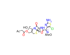 CO/N=C(\C(=O)N[C@@H]1C(=O)N2C(C(=O)O)=C(COC(=O)CC(C)=O)CS[C@@H]12)c1nc(N)sc1Cl